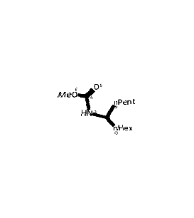 CCCCCCC(CCCCC)NC(=O)OC